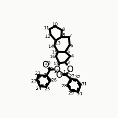 O=C(OC1CC2CCC3CCCCC3CC2CC1OC(=O)c1ccccc1)c1ccccc1